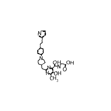 Cc1nc(CC2CCN(c3ccc(CCc4cccnc4)cc3)CC2)nc(C(=O)NCC(=O)O)c1O